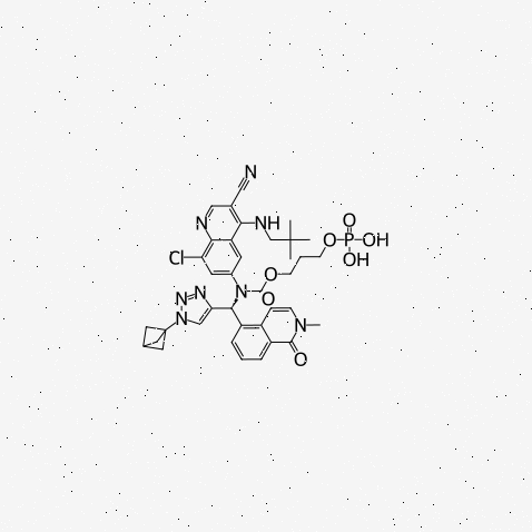 Cn1ccc2c([C@@H](c3cn(C45CC(C4)C5)nn3)N(C(=O)OCCCOP(=O)(O)O)c3cc(Cl)c4ncc(C#N)c(NCC(C)(C)C)c4c3)cccc2c1=O